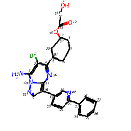 Nc1c(Br)c([C@@H]2CCC[C@H](OC(=O)CO)C2)nc2c(-c3ccc(-c4ccccc4)nc3)cnn12